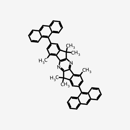 Cc1cc(-c2c3ccccc3cc3ccccc23)cc2c1-c1nc3c(nc1C2(C)C)-c1c(C)cc(-c2c4ccccc4cc4ccccc24)cc1C3(C)C